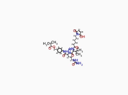 CC(C)C(=O)OCc1ccc(NC(=O)[C@H](CCCNC(N)=O)NC(=O)[C@@H](NC(=O)CCCCCN2C(=O)C=CC2O)C(C)C)cc1